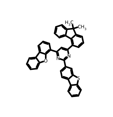 CC1(C)c2ccccc2-c2c(-c3cc(-c4cccc5c4oc4ccccc45)nc(-c4ccc5c(c4)sc4ccccc45)n3)cccc21